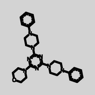 c1ccc(N2CCN(c3nc(N4CCOCC4)nc(N4CCN(c5ccccc5)CC4)n3)CC2)cc1